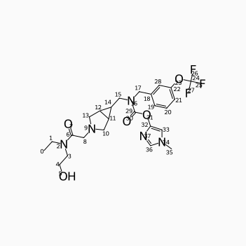 CCN(CCO)C(=O)CN1CC2C(C1)C2CN(Cc1cccc(OC(F)(F)F)c1)C(=O)Oc1cn(C)cn1